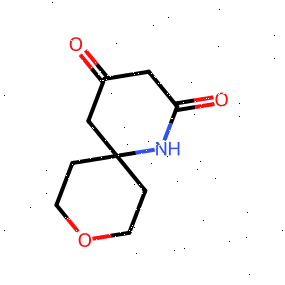 O=C1CC(=O)NC2(CCOCC2)C1